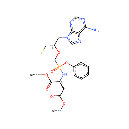 CCCCCOC(=O)C[C@H](NP(=O)(CO[C@H](CF)Cn1cnc2c(N)ncnc21)Oc1ccccc1)C(=O)OCCCCC